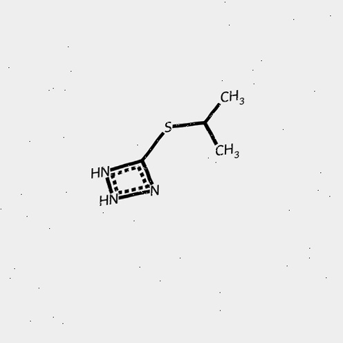 CC(C)Sc1n[nH][nH]1